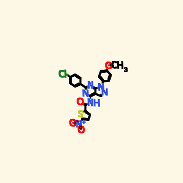 COc1ccc(-n2ncc3c(NC(=O)c4ccc([N+](=O)[O-])s4)nc(-c4ccc(Cl)cc4)nc32)cc1